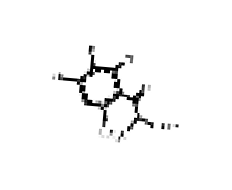 CCOC(=O)C(C(=O)OCC)C(=O)c1c(F)cc(Cl)c(F)c1Cl